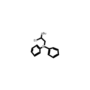 CCCCC(CC)C[Si](c1ccccc1)c1ccccc1